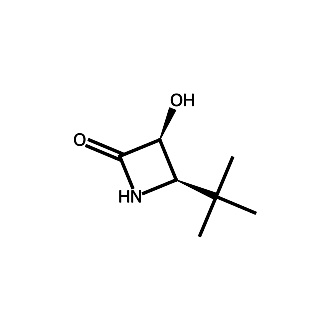 CC(C)(C)[C@H]1NC(=O)[C@H]1O